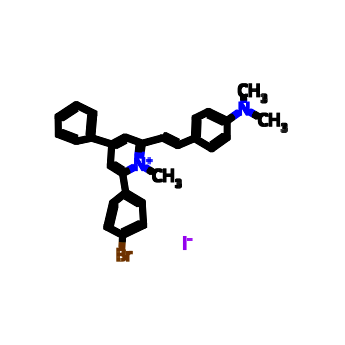 CN(C)c1ccc(/C=C/c2cc(-c3ccccc3)cc(-c3ccc(Br)cc3)[n+]2C)cc1.[I-]